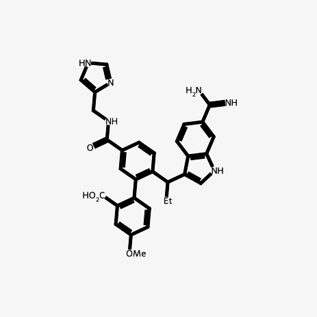 CCC(c1ccc(C(=O)NCc2c[nH]cn2)cc1-c1ccc(OC)cc1C(=O)O)c1c[nH]c2cc(C(=N)N)ccc12